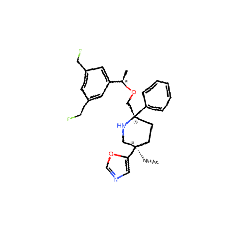 CC(=O)N[C@@]1(c2cnco2)CC[C@@](CO[C@H](C)c2cc(CF)cc(CF)c2)(c2ccccc2)NC1